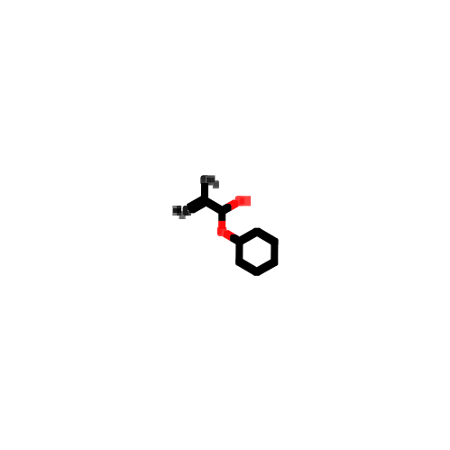 C=C(C)C(O)OC1CCCCC1